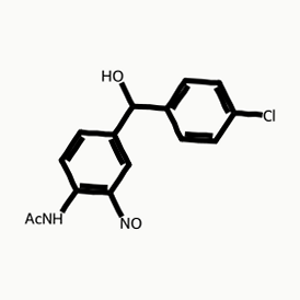 CC(=O)Nc1ccc(C(O)c2ccc(Cl)cc2)cc1N=O